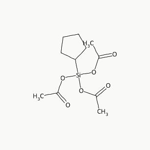 CC(=O)O[Si](OC(C)=O)(OC(C)=O)C1CCCC1